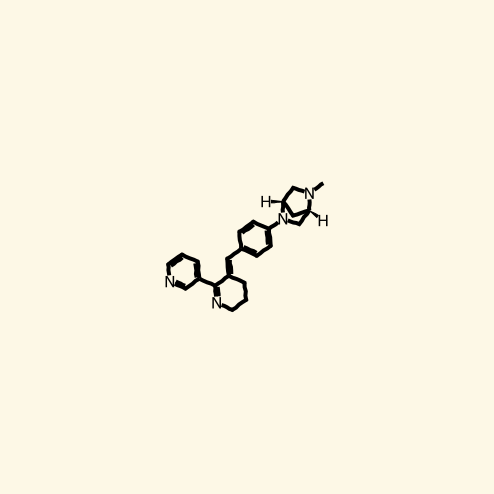 CN1C[C@@H]2C[C@H]1CN2c1ccc(/C=C2\CCCN=C2c2cccnc2)cc1